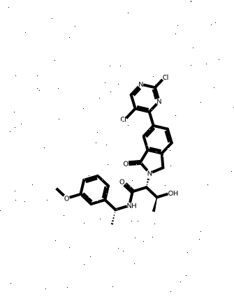 COc1cccc([C@@H](C)NC(=O)[C@@H]([C@H](C)O)N2Cc3ccc(-c4nc(Cl)ncc4Cl)cc3C2=O)c1